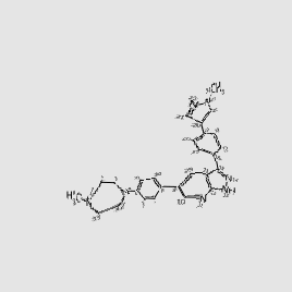 CN1CCN(c2ccc(-c3cnc4[nH]nc(-c5ccc(-c6cnn(C)c6)cc5)c4c3)cc2)CC1